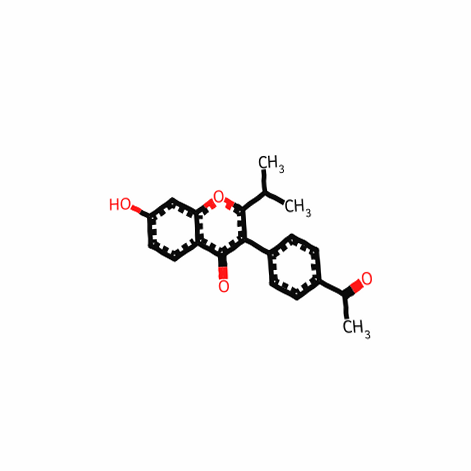 CC(=O)c1ccc(-c2c(C(C)C)oc3cc(O)ccc3c2=O)cc1